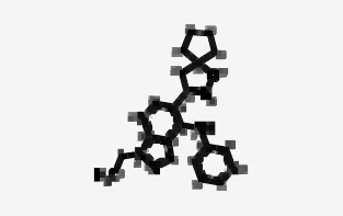 CCn1ncc2c(Nc3cccnc3)c(C3=NOC4(CCCC4)C3)cnc21